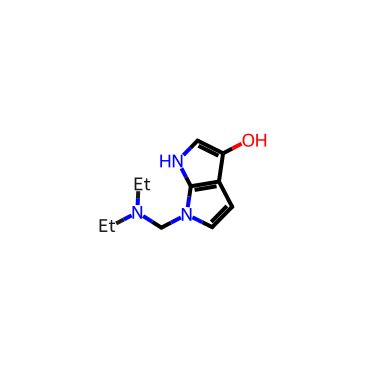 CCN(CC)Cn1ccc2c(O)c[nH]c21